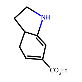 CCOC(=O)C1=CCC2CCNC2=C1